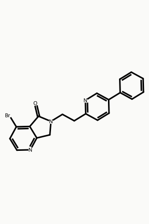 O=C1c2c(Br)ccnc2CN1CCc1ccc(-c2ccccc2)cn1